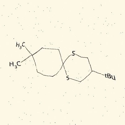 CC1(C)CCC2(CC1)SCC(C(C)(C)C)CS2